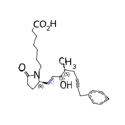 C[C@@H](CC#CCc1ccccc1)[C@H](O)/C=C/[C@H]1CCC(=O)N1CCCCCCC(=O)O